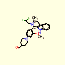 COc1cc(N2CCC(C=O)CC2)ccc1[C@@H]1c2[nH]c3ccccc3c2C[C@@H](C)N1CC(F)F